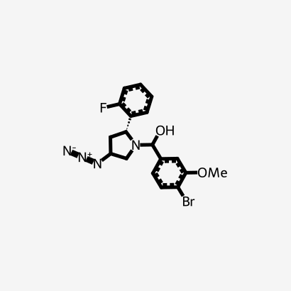 COc1cc(C(O)N2CC(N=[N+]=[N-])C[C@@H]2c2ccccc2F)ccc1Br